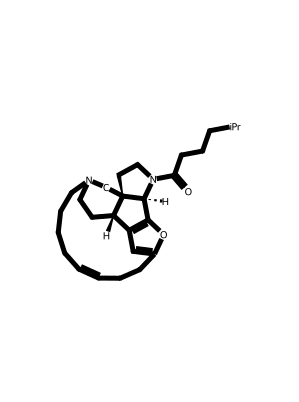 CC(C)CCCC(=O)N1CC[C@@]23CN4CCCC/C=C\CCc5cc(c(o5)[C@H]12)[C@@H]3CC4